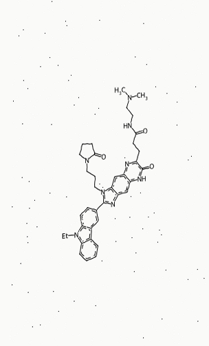 CCn1c2ccccc2c2cc(-c3nc4cc5[nH]c(=O)c(CCC(=O)NCCN(C)C)nc5cc4n3CCCN3CCCC3=O)ccc21